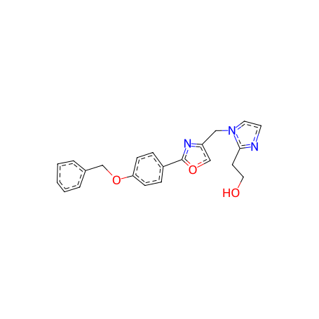 OCCc1nccn1Cc1coc(-c2ccc(OCc3ccccc3)cc2)n1